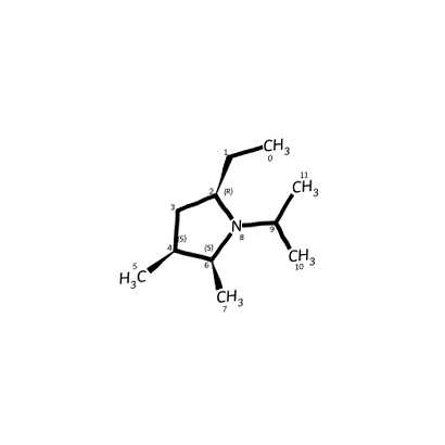 CC[C@@H]1C[C@H](C)[C@H](C)N1C(C)C